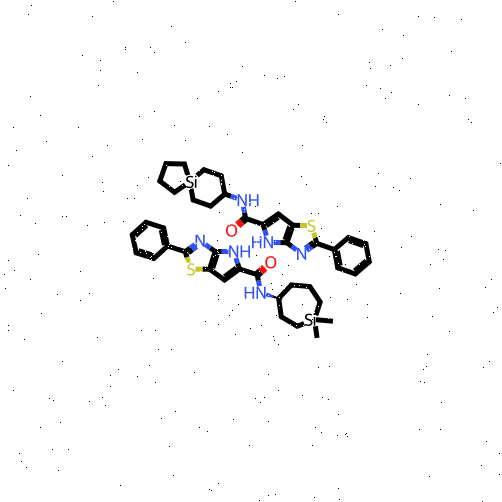 C[Si]1(C)CCC[C@H](NC(=O)c2cc3sc(-c4ccccc4)nc3[nH]2)CC1.O=C(NC1CC[Si]2(CCCC2)CC1)c1cc2sc(-c3ccccc3)nc2[nH]1